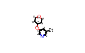 CCc1cncc(OC2CCOCC2)c1